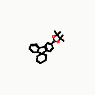 CC1(C)OB(c2ccc3c(c2)C2C=CC=CC2C32CCCCC2)OC1(C)C